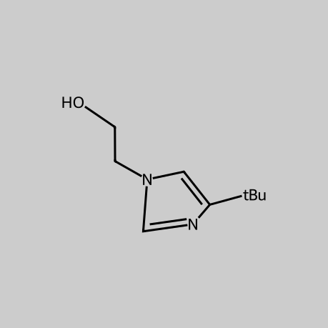 CC(C)(C)c1cn(CCO)cn1